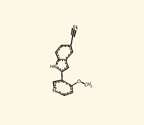 COc1ccncc1-c1cc2cc(C#N)ccc2[nH]1